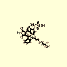 CS(=O)(=O)O.Cn1cc(C2=C(c3cn(CCCSN=NC(=O)O)c4ccccc34)C(=O)NC2=O)c2ccccc21